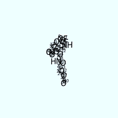 COC(=O)C1=C(C(F)(F)F)NC(C)=C(C(=O)OCCNC(=O)Cc2ccc(OCC3CO3)cc2)C1c1cccc([N+](=O)[O-])c1